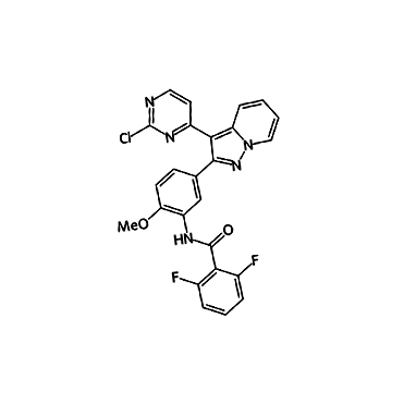 COc1ccc(-c2nn3ccccc3c2-c2ccnc(Cl)n2)cc1NC(=O)c1c(F)cccc1F